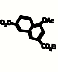 CCOC(=O)c1cc(OC(C)=O)c2ccc(C(=O)O)cc2c1